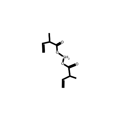 C=CC(C)C(=O)O[SiH2]OC(=O)C(C)C=C